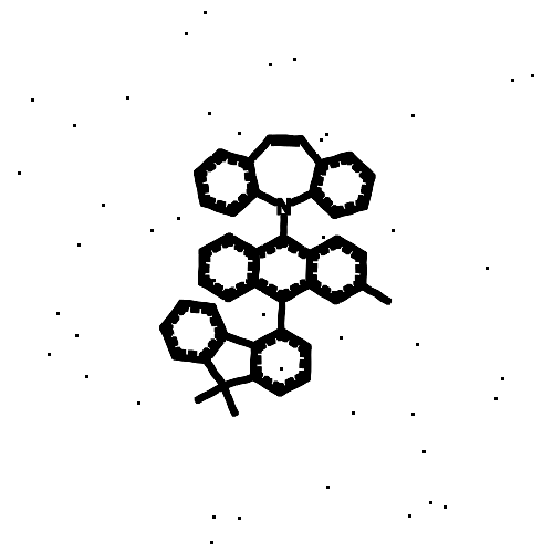 Cc1ccc2c(N3c4ccccc4C=Cc4ccccc43)c3ccccc3c(-c3cccc4c3-c3ccccc3C4(C)C)c2c1